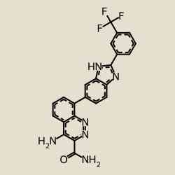 NC(=O)c1nnc2c(-c3ccc4nc(-c5cccc(C(F)(F)F)c5)[nH]c4c3)cccc2c1N